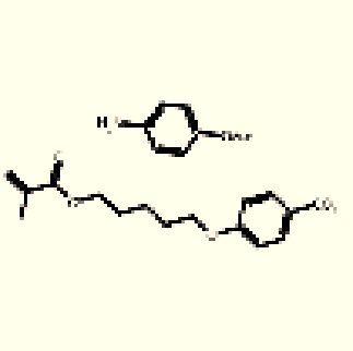 C=C(C)C(=O)OCCCCCOc1ccc(C(=O)O)cc1.COc1ccc(N)cc1